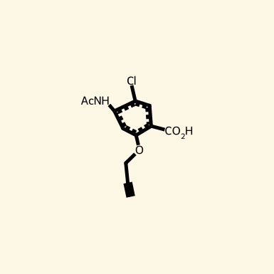 C#CCOc1cc(NC(C)=O)c(Cl)cc1C(=O)O